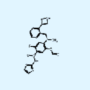 CN(Cc1ccccc1C1CNC1)c1cc(F)c([S+]([O-])Nc2nccs2)cc1OC=O